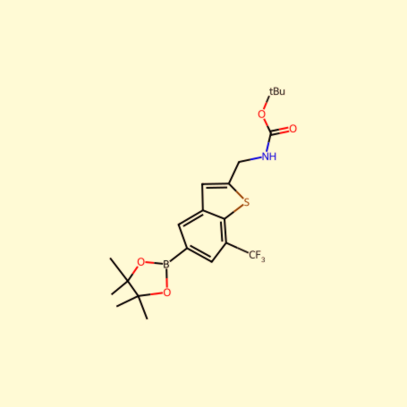 CC(C)(C)OC(=O)NCc1cc2cc(B3OC(C)(C)C(C)(C)O3)cc(C(F)(F)F)c2s1